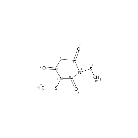 CSN1C(=O)CC(=O)N(SC)C1=O